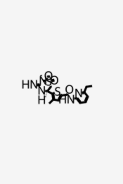 CCc1cccc(NC(=O)c2cc(C)c([C@]3(C)CS(=O)(=O)N(C)C(=N)N3)s2)n1